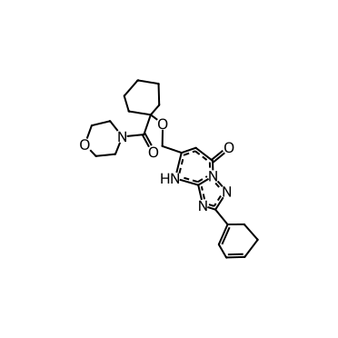 O=C(N1CCOCC1)C1(OCc2cc(=O)n3nc(C4=CC=CCC4)nc3[nH]2)CCCCC1